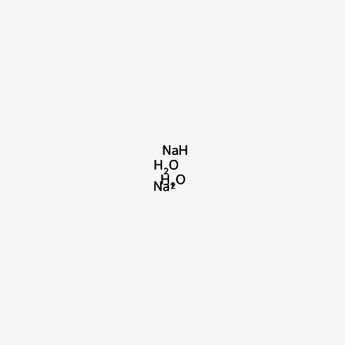 O.O.[Na+].[NaH]